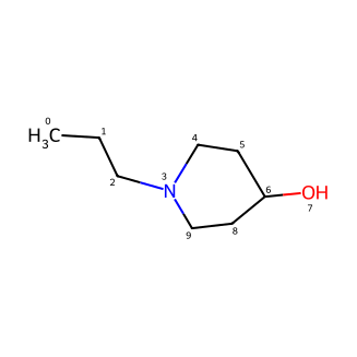 CCCN1CCC(O)CC1